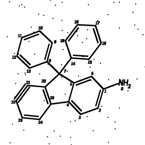 Nc1ccc2c(c1)C(c1ccccc1)(c1ccccc1)c1c#cccc1-2